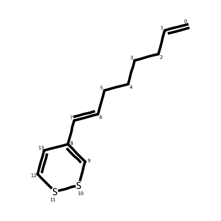 C=CCCCCC=CC1=CSSC=C1